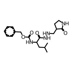 CC(C)CC(NC(=O)OCc1ccccc1)C(=O)NNCC1CCNC1=O